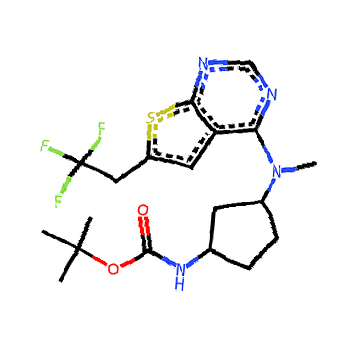 CN(c1ncnc2sc(CC(F)(F)F)cc12)C1CCC(NC(=O)OC(C)(C)C)C1